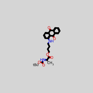 C[C@@H](NC(=O)OC(C)(C)C)C(=O)OCCCCNc1cccc2c1C(=O)c1ccccc1C2=O